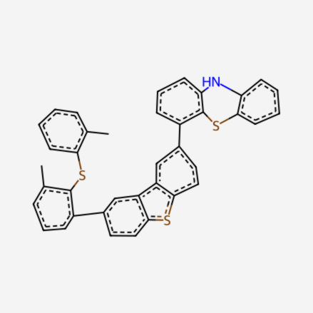 Cc1ccccc1Sc1c(C)cccc1-c1ccc2sc3ccc(-c4cccc5c4Sc4ccccc4N5)cc3c2c1